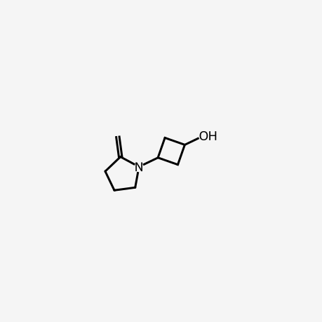 C=C1CCCN1C1CC(O)C1